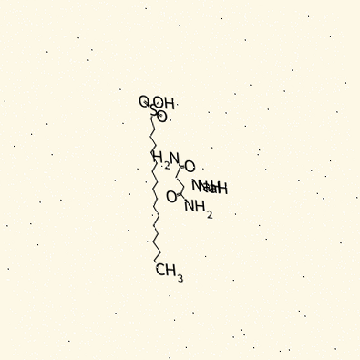 CCCCCCCCCCCCCCCCCCS(=O)(=O)O.NC(=O)CCC(N)=O.[NaH].[NaH]